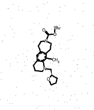 Cc1c2c(cc3c1N(C[C@H]1CCCO1)CCC3)CCN(C(=O)OC(C)(C)C)CC2